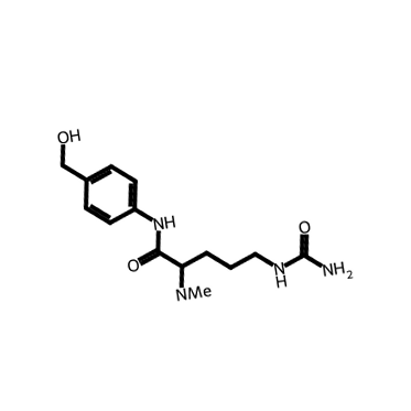 CNC(CCCNC(N)=O)C(=O)Nc1ccc(CO)cc1